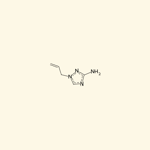 C=CCn1cnc(N)n1